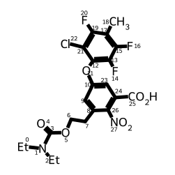 CCN(CC)C(=O)OCCc1cc(Oc2c(F)c(F)c(C)c(F)c2Cl)cc(C(=O)O)c1[N+](=O)[O-]